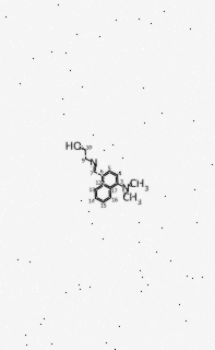 CN(C)c1ccc(C=NCCO)c2ccccc12